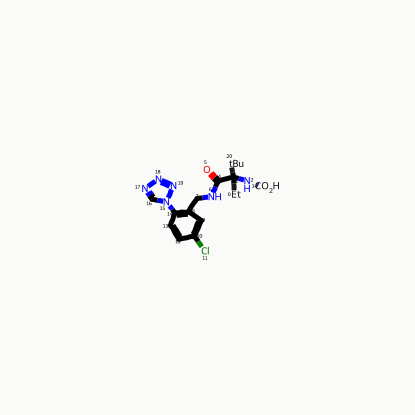 CCC(NC(=O)O)(C(=O)NCc1cc(Cl)ccc1-n1cnnn1)C(C)(C)C